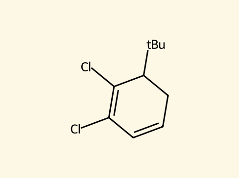 CC(C)(C)C1CC=CC(Cl)=C1Cl